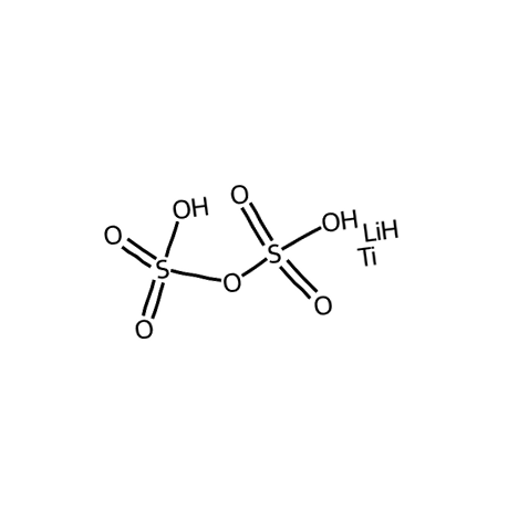 O=S(=O)(O)OS(=O)(=O)O.[LiH].[Ti]